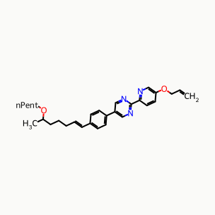 C=CCOc1ccc(-c2ncc(-c3ccc(C=CCCCC(C)OCCCCC)cc3)cn2)nc1